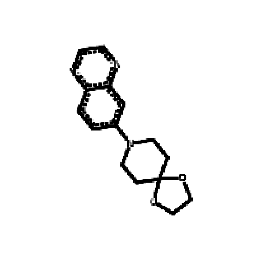 c1cnc2cc(N3CCC4(CC3)OCCO4)ccc2n1